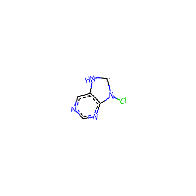 ClN1[CH]Nc2cncnc21